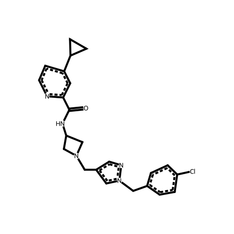 O=C(NC1CN(Cc2cnn(Cc3ccc(Cl)cc3)c2)C1)c1cc(C2CC2)ccn1